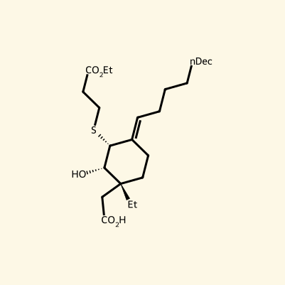 CCCCCCCCCCCCCC=C1CC[C@](CC)(CC(=O)O)[C@H](O)[C@@H]1SCCC(=O)OCC